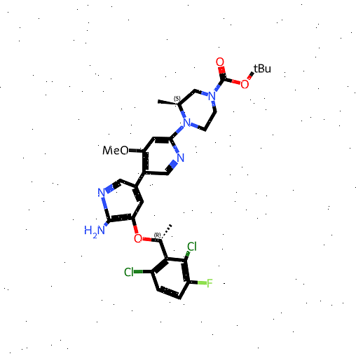 COc1cc(N2CCN(C(=O)OC(C)(C)C)C[C@@H]2C)ncc1-c1cnc(N)c(O[C@H](C)c2c(Cl)ccc(F)c2Cl)c1